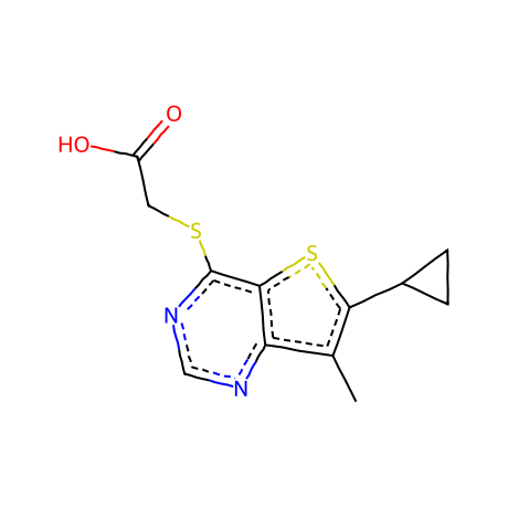 Cc1c(C2CC2)sc2c(SCC(=O)O)ncnc12